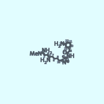 CN/C(N)=C/C=C(\N)CCCCc1nnc(NC(=O)Cc2cccc(N)c2)s1